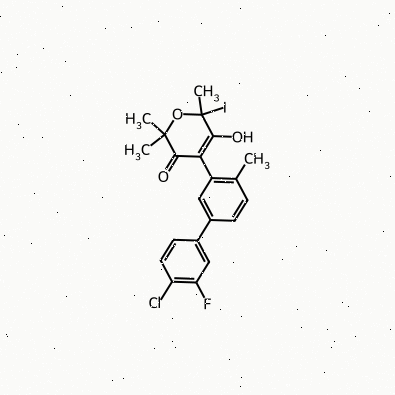 Cc1ccc(-c2ccc(Cl)c(F)c2)cc1C1=C(O)C(C)(I)OC(C)(C)C1=O